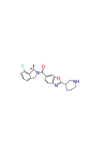 C[C@@H]1c2c(F)cccc2CN1C(=O)c1ccc2nc(C3CCCNC3)oc2c1